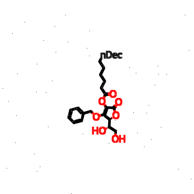 CCCCCCCCCCCCCCCC(=O)OC1=C(OCc2ccccc2)[C@@H]([C@@H](O)CO)OC1=O